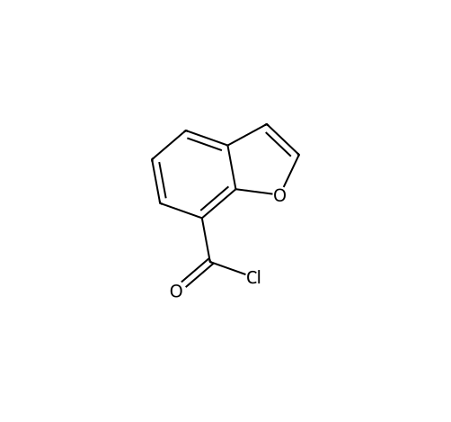 O=C(Cl)c1cccc2ccoc12